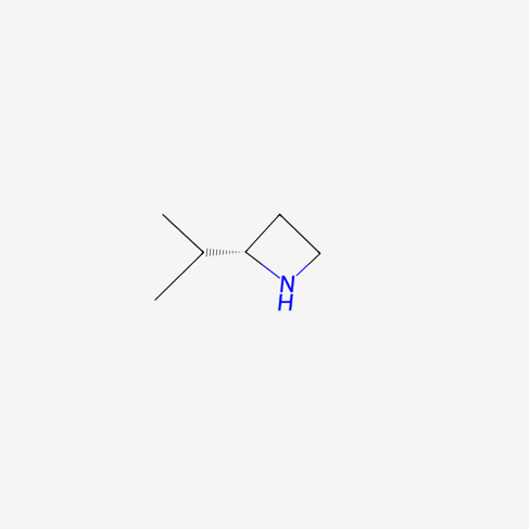 CC(C)[C@@H]1CCN1